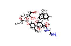 COc1ccc([C@@]23Oc4cc(O[C@@H]5O[C@@](C)([C@H](O)CO)CO[C@H]5OC)cc(OC)c4[C@]2(O)C[C@H](C(=O)NCCN)[C@H]3c2ccccc2)cc1